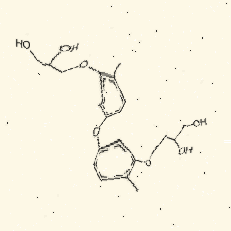 Cc1ccc(Oc2ccc(C)c(OCC(O)CO)c2)cc1OCC(O)CO